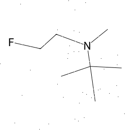 CN(CCF)C(C)(C)C